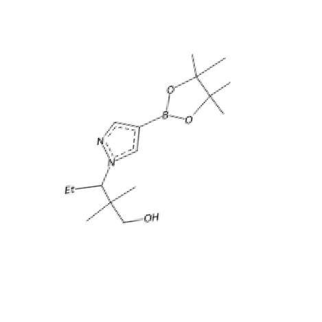 CCC(n1cc(B2OC(C)(C)C(C)(C)O2)cn1)C(C)(C)CO